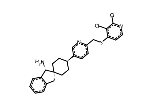 N[C@H]1c2ccccc2C[C@]12CC[C@H](c1ccc(CSc3ccnc(Cl)c3Cl)nc1)CC2